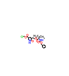 CC(C)[C@H](NC(=O)OCc1ccccc1)C(=O)OCCc1cc(C(=O)OCCl)c[nH]c1=O